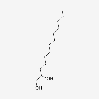 CCCCCCCCCC[CH]C(O)CO